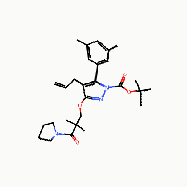 C=CCc1c(OCC(C)(C)C(=O)N2CCCC2)nn(C(=O)OC(C)(C)C)c1-c1cc(C)cc(C)c1